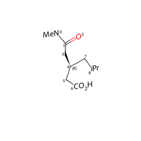 CNC(=O)C[C@H](CC(=O)O)CC(C)C